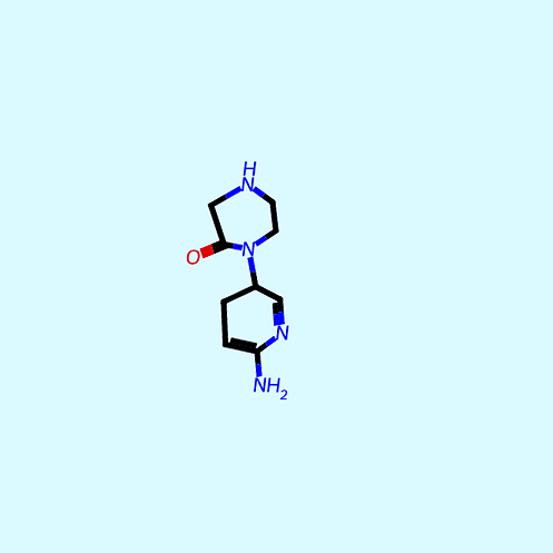 NC1=CCC(N2CCNCC2=O)C=N1